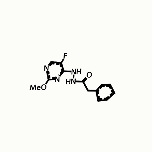 COc1ncc(F)c(NNC(=O)Cc2ccccc2)n1